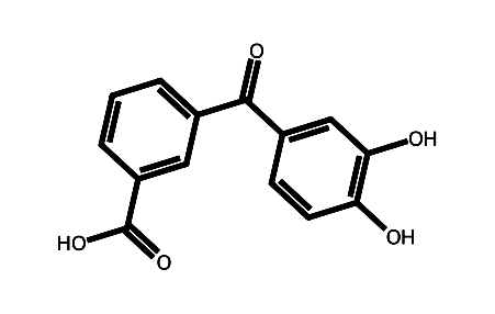 O=C(O)c1cccc(C(=O)c2ccc(O)c(O)c2)c1